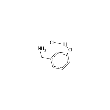 Cl[IH]Cl.NCc1ccccc1